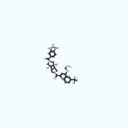 CCOc1cc(C(=O)N2CC3C(C2)[C@@H]2CN(C(=O)c4ccc5c(c4)NNN5)C[C@H]32)nc2ccc(C(F)(F)F)cc12